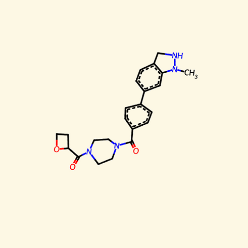 CN1NCc2ccc(-c3ccc(C(=O)N4CCN(C(=O)C5CCO5)CC4)cc3)cc21